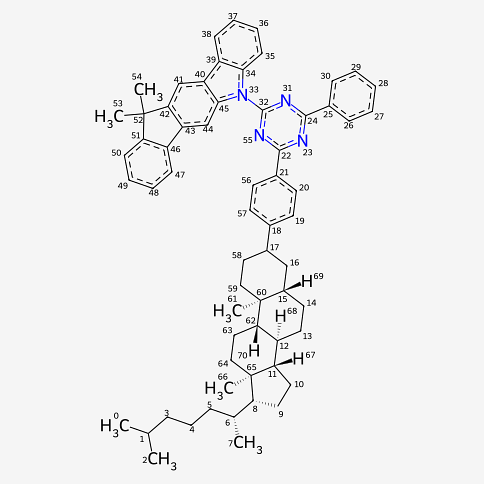 CC(C)CCC[C@@H](C)[C@H]1CC[C@H]2[C@@H]3CC[C@H]4CC(c5ccc(-c6nc(-c7ccccc7)nc(-n7c8ccccc8c8cc9c(cc87)-c7ccccc7C9(C)C)n6)cc5)CC[C@]4(C)[C@H]3CC[C@]12C